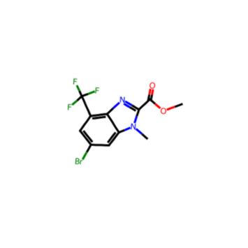 COC(=O)c1nc2c(C(F)(F)F)cc(Br)cc2n1C